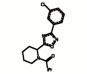 CC(C)C(=O)N1CCCCC1c1nc(-c2cccc(Cl)c2)no1